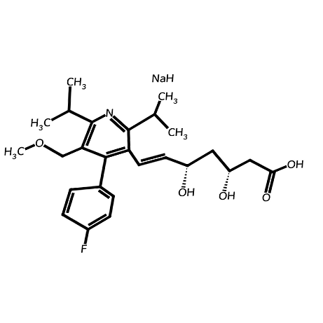 COCc1c(C(C)C)nc(C(C)C)c(/C=C/[C@@H](O)C[C@@H](O)CC(=O)O)c1-c1ccc(F)cc1.[NaH]